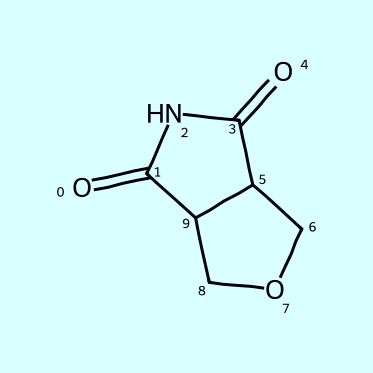 O=C1NC(=O)C2COCC12